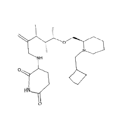 C=C(CNC1CCC(=O)NC1=O)C(C)[C@@H](C)[C@H](C)OC[C@H]1CCCCN1CC1CCC1